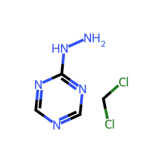 ClCCl.NNc1ncncn1